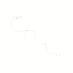 NCCSCC1(O)C=CC=NC1